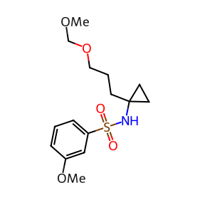 COCOCCCC1(NS(=O)(=O)c2cccc(OC)c2)CC1